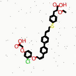 CCOC(Cc1ccc(SC/C=C/c2ccc(-c3ccc(/C=C\COc4ccc(OCC(=O)O)cc4Cl)cc3)cc2)cc1)C(=O)O